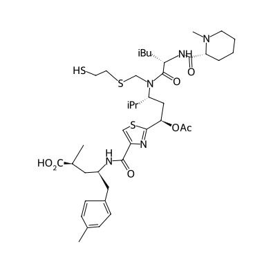 CCC(C)[C@H](NC(=O)[C@H]1CCCCN1C)C(=O)N(CSCCS)[C@H](C[C@@H](OC(C)=O)c1nc(C(=O)N[C@@H](Cc2ccc(C)cc2)C[C@H](C)C(=O)O)cs1)C(C)C